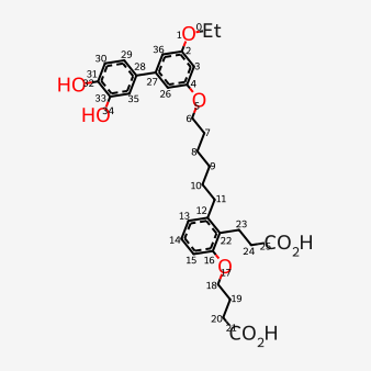 CCOc1cc(OCCCCCCc2cccc(OCCCC(=O)O)c2CCC(=O)O)cc(-c2ccc(O)c(O)c2)c1